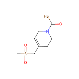 CS(=O)(=O)CC1=CCN(C(=O)S)CC1